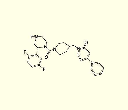 O=C(N1CCC(Cn2ccc(-c3ccccc3)cc2=O)CC1)N1CCNC[C@H]1c1cc(F)ccc1F